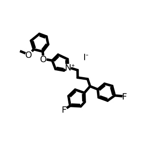 COc1ccccc1Oc1cc[n+](CCCC(c2ccc(F)cc2)c2ccc(F)cc2)cc1.[I-]